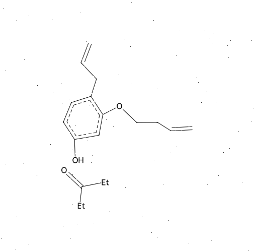 C=CCCOc1cc(O)ccc1CC=C.CCC(=O)CC